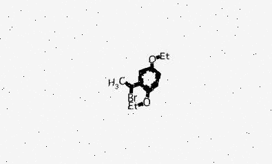 CCOc1ccc(OCC)c(C(C)Br)c1